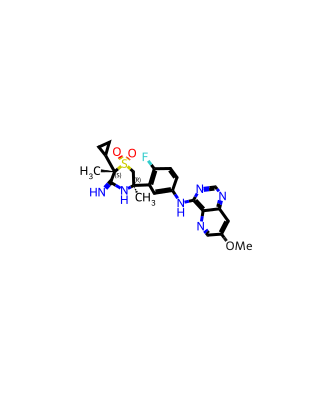 COc1cnc2c(Nc3ccc(F)c([C@]4(C)CS(=O)(=O)[C@@](C)(C5CC5)C(=N)N4)c3)ncnc2c1